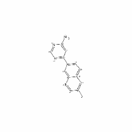 Cc1cnc2cc(-c3cc(N)ncn3)ccc2c1